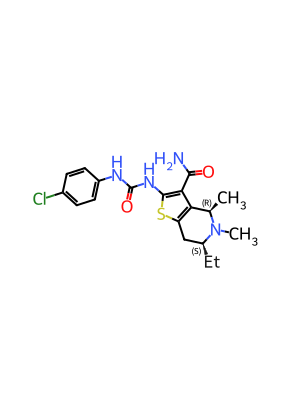 CC[C@H]1Cc2sc(NC(=O)Nc3ccc(Cl)cc3)c(C(N)=O)c2[C@@H](C)N1C